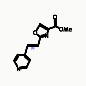 COC(=O)c1coc(/C=C/c2ccncc2)n1